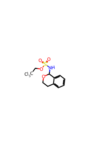 O=S(=O)(NC1OCCc2ccccc21)OCC(Cl)(Cl)Cl